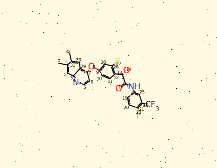 Cc1cc2nccc(Oc3ccc(C(=O)C(=O)Nc4ccc(F)c(C(F)(F)F)c4)c(F)c3)c2cc1C